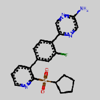 Nc1cnc(-c2ccc(-c3cccnc3S(=O)(=O)C3CCCC3)cc2F)cn1